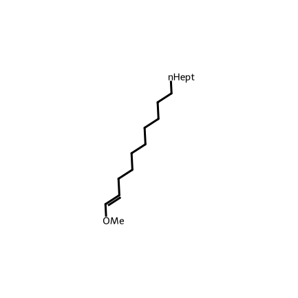 [CH2]OC=CCCCCCCCCCCCCCCC